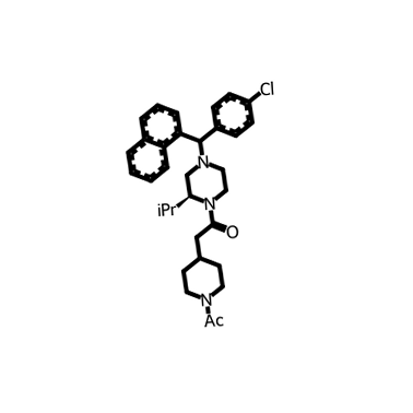 CC(=O)N1CCC(CC(=O)N2CCN(C(c3ccc(Cl)cc3)c3cccc4ccccc34)C[C@@H]2C(C)C)CC1